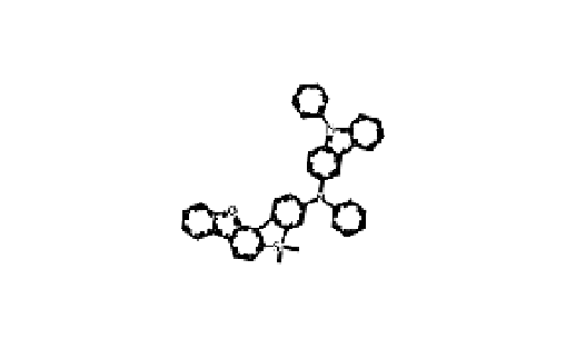 C[Si]1(C)c2cc(N(c3ccccc3)c3ccc4c(c3)c3ccccc3n4-c3ccccc3)ccc2-c2c1ccc1c2oc2ccccc21